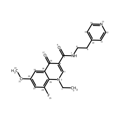 CCn1cc(C(=O)NCCc2ccncc2)c(=O)c2cc(OC)cc(F)c21